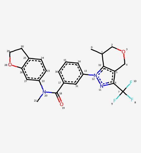 CC1COCc2c(C(F)(F)F)nn(-c3cccc(C(=O)N(C)c4ccc5c(c4)OCC5)c3)c21